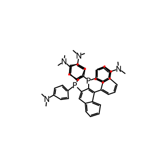 CN(C)c1ccc(P(c2ccc(N(C)C)cc2)c2cc3ccccc3c(-c3cccc4ccccc34)c2P(c2ccc(N(C)C)cc2)c2ccc(N(C)C)cc2)cc1